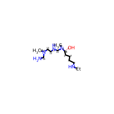 CCNCCCC[C@@H](O)N(C)CNCCN(C)CN